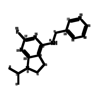 CC(C)N1CCc2c(NCc3cccnc3)nc(F)nc21